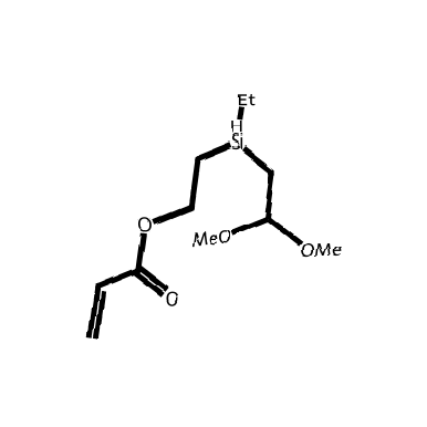 C=CC(=O)OCC[SiH](CC)CC(OC)OC